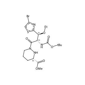 CCO[C@H](c1nc(Br)cs1)[C@H](NC(=O)OC(C)(C)C)C(=O)N1CCC[C@@H](C(=O)OC)N1